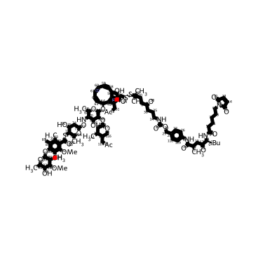 CCC(C)[C@H](NC(=O)CCCCCN1C(=O)C=CC1=O)C(=O)C[C@@H](C)C(=O)Nc1ccc(COC(=O)NCCCC(=O)CCC(C)(C)SSC/C=C2/C3=C(CC(C)=O)C(=O)C[C@@]2(O)C#C/C=C\C#C[C@@H]3OC2OC(C)C(NOC3CC(O)C(SC(=O)c4c(C)c(I)c(OC5OC(C)C(O)C(OC)C5O)c(C)c4OC)C(C)O3)C(O)C2OC2CC(C)C(CC(C)=O)CO2)cc1